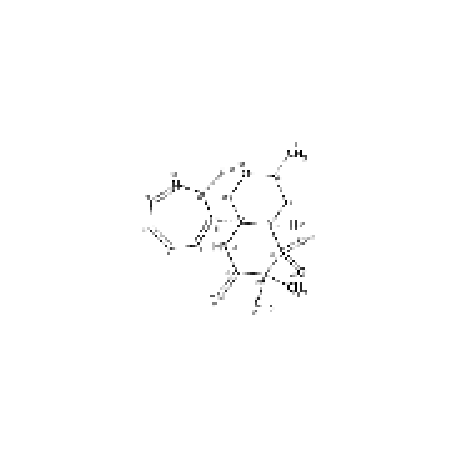 C[C@@H]1C[C@@H]2[C@](C3=CC=CC=NC3F)(CO1)NC(=N)C(C)(C)S2(=O)=O